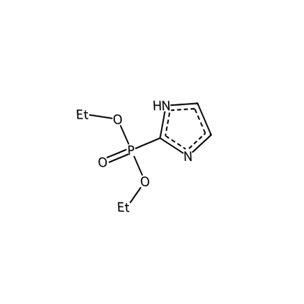 CCOP(=O)(OCC)c1ncc[nH]1